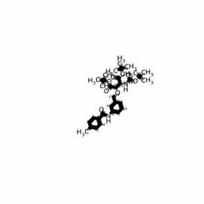 Cc1ccc(C(=O)Nc2cccc(CO[C@H](C(=O)OC(C)(C)C)[C@@H](NC(=O)OC(C)(C)C)C(=O)OC(C)(C)C)c2)cc1